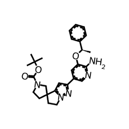 C[C@@H](Oc1cc(-c2cc3n(n2)CCC32CCN(C(=O)OC(C)(C)C)C2)cnc1N)c1ccccc1